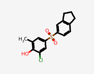 Cc1cc(S(=O)(=O)c2ccc3c(c2)CCC3)cc(Cl)c1O